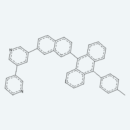 Cc1ccc(-c2c3ccccc3c(-c3ccc4ccc(-c5cncc(-c6cccnc6)c5)cc4c3)c3ccccc23)cc1